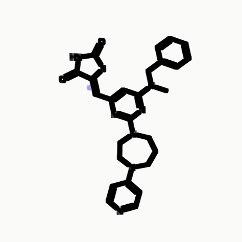 CN(Cc1ccccc1)c1cc(/C=C2\SC(=O)NC2=O)nc(N2CCCN(c3ccncc3)CC2)n1